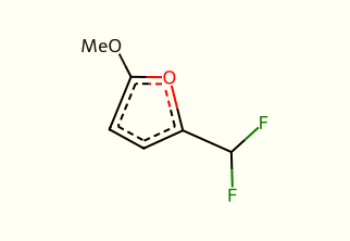 COc1ccc(C(F)F)o1